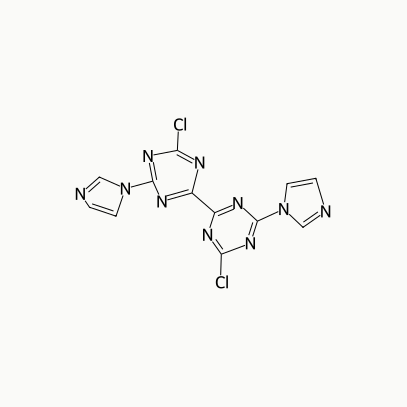 Clc1nc(-c2nc(Cl)nc(-n3ccnc3)n2)nc(-n2ccnc2)n1